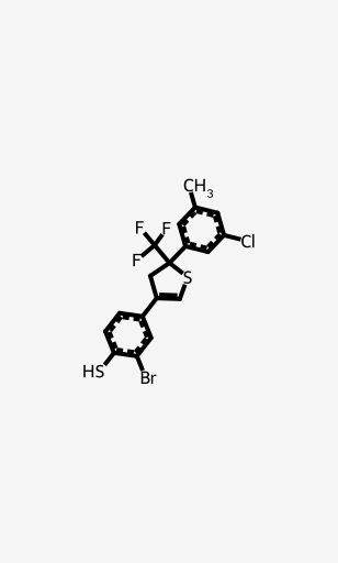 Cc1cc(Cl)cc(C2(C(F)(F)F)CC(c3ccc(S)c(Br)c3)=CS2)c1